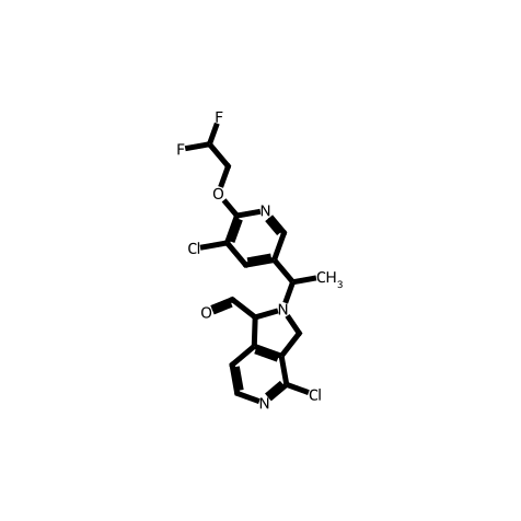 CC(c1cnc(OCC(F)F)c(Cl)c1)N1Cc2c(ccnc2Cl)C1C=O